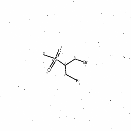 CS(=O)(=O)C(CBr)CBr